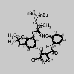 CCCCN(CCCC)SN(C)C(=O)Oc1cccc2c1OC(C)(C)C2.N#Cc1ccccc1NC(=O)c1snc(Cl)c1Cl